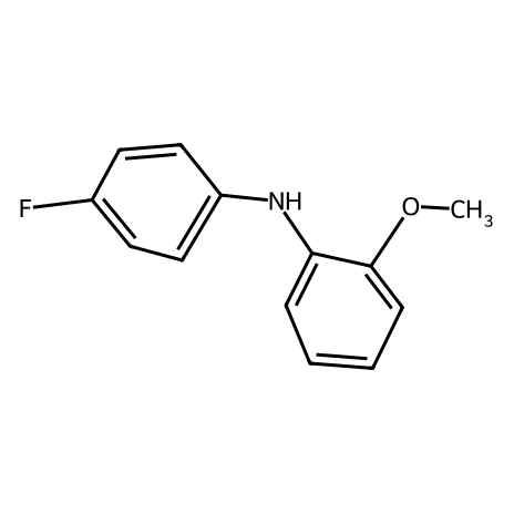 COc1ccccc1Nc1ccc(F)cc1